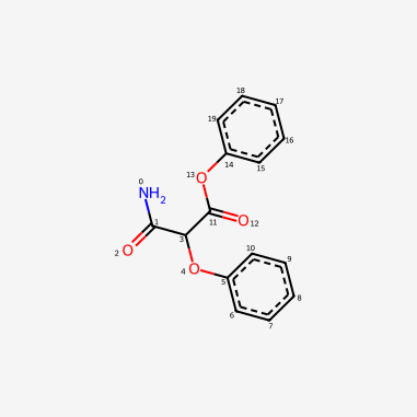 NC(=O)C(Oc1ccccc1)C(=O)Oc1ccccc1